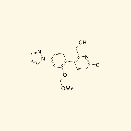 COCOc1cc(-n2cccn2)ccc1-c1ccc(Cl)nc1CO